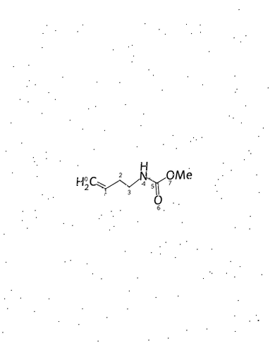 C=CCCNC(=O)OC